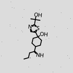 C[CH]CC(=N)C1CCC(O)(c2cnc(C(C)(C)O)s2)CC1